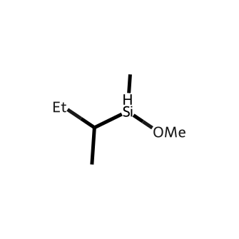 CCC(C)[SiH](C)OC